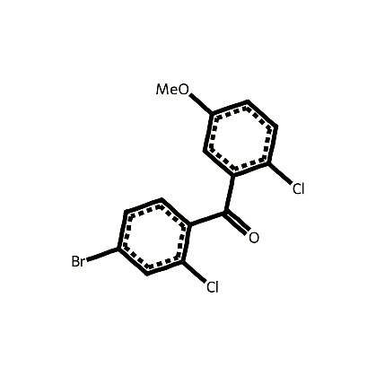 COc1ccc(Cl)c(C(=O)c2ccc(Br)cc2Cl)c1